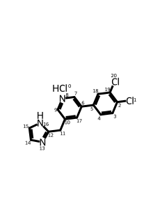 Cl.Clc1ccc(-c2cncc(Cc3ncc[nH]3)c2)cc1Cl